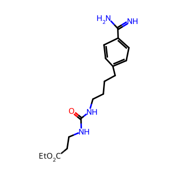 CCOC(=O)CCNC(=O)NCCCCc1ccc(C(=N)N)cc1